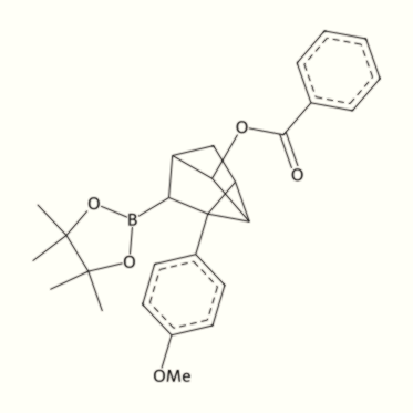 COc1ccc(C23C4CC(C(OC(=O)c5ccccc5)C42)C3B2OC(C)(C)C(C)(C)O2)cc1